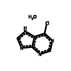 Clc1ncnc2nc[nH]c12.O